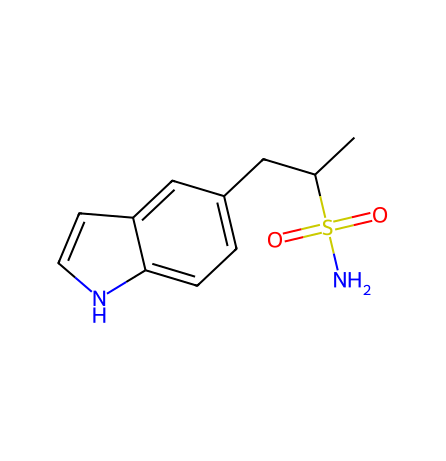 CC(Cc1ccc2[nH]ccc2c1)S(N)(=O)=O